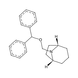 c1ccc(C(OCN2[C@@H]3CCC[C@H]2CC3)c2ccccc2)cc1